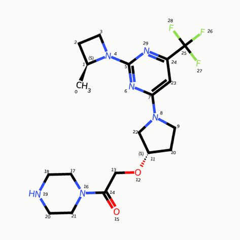 C[C@H]1CCN1c1nc(N2CC[C@H](OCC(=O)N3CCNCC3)C2)cc(C(F)(F)F)n1